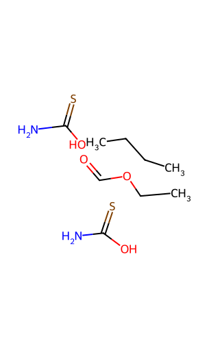 CCCC.CCOC=O.NC(O)=S.NC(O)=S